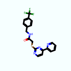 O=C(CSc1nccc(-c2ccccn2)n1)NCc1ccc(C(F)(F)F)cc1